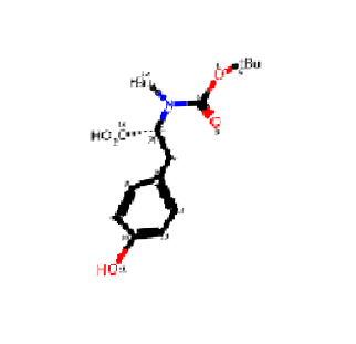 CC(C)(C)OC(=O)N([C@H](Cc1ccc(O)cc1)C(=O)O)C(C)(C)C